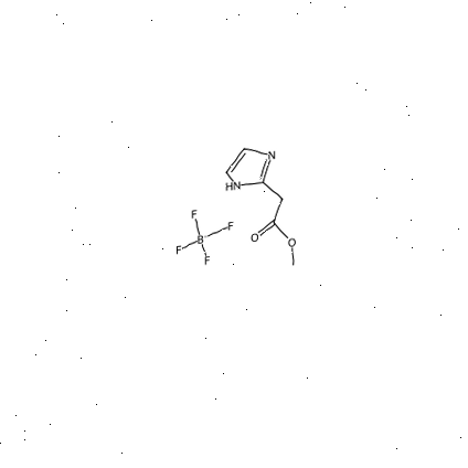 COC(=O)Cc1ncc[nH]1.F[B-](F)(F)F